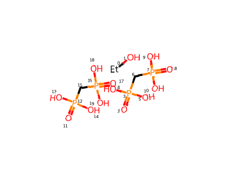 CCO.O=P(O)(O)CP(=O)(O)O.O=P(O)(O)CP(=O)(O)O